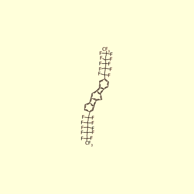 FC(F)(F)C(F)(F)C(F)(F)C(F)(F)C(F)(F)C(F)(F)c1ccc2c(c1)c1cc3c4ccc(C(F)(F)C(F)(F)C(F)(F)C(F)(F)C(F)(F)C(F)(F)F)cc4c3cc21